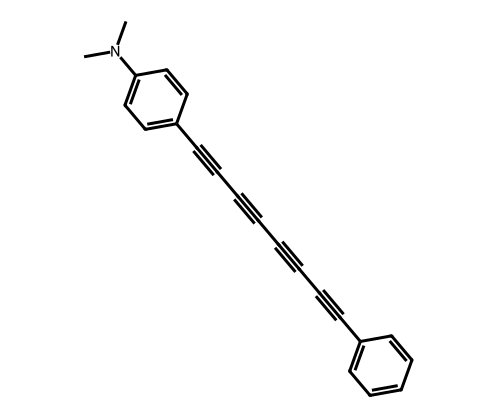 CN(C)c1ccc(C#CC#CC#CC#Cc2ccccc2)cc1